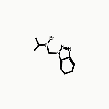 CC(C)N(Br)Cn1nnc2c1=CCCC=2